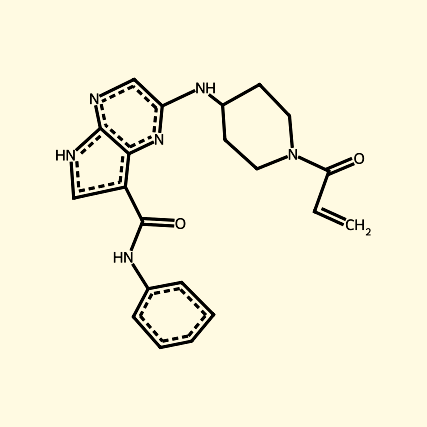 C=CC(=O)N1CCC(Nc2cnc3[nH]cc(C(=O)Nc4ccccc4)c3n2)CC1